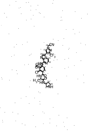 C[C@@H](NC(=O)c1ccc(Nc2nccn3c(-c4cn(CC#N)nc4C(F)(F)F)cnc23)cc1Cl)C(=O)N[C@H]1CCNC1.O=CO